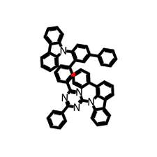 c1ccc(-c2ccc(-n3c4ccccc4c4ccccc43)c(-c3cccc(-c4nc(-c5ccccc5)nc(-n5c6ccccc6c6cccc(-c7ccccc7)c65)n4)c3)c2)cc1